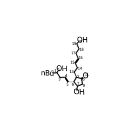 CCCCC(O)C/C=C/[C@H]1C(O)CC(=O)[C@@H]1CC/C=C/CCCO